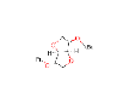 CC(C)O[C@H]1CO[C@H]2[C@@H]1OC[C@H]2OC(C)(C)C